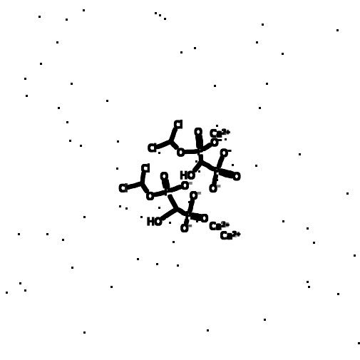 O=P([O-])([O-])C(O)P(=O)([O-])OC(Cl)Cl.O=P([O-])([O-])C(O)P(=O)([O-])OC(Cl)Cl.[Ca+2].[Ca+2].[Ca+2]